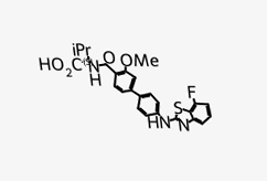 COc1cc(-c2ccc(Nc3nc4cccc(F)c4s3)cc2)ccc1C(=O)N[C@H](C(=O)O)C(C)C